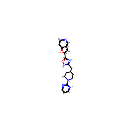 c1cnc(N2CCC(Cc3noc(-c4cc5cnccc5o4)n3)CC2)nc1